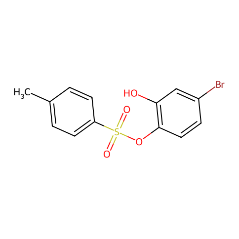 Cc1ccc(S(=O)(=O)Oc2ccc(Br)cc2O)cc1